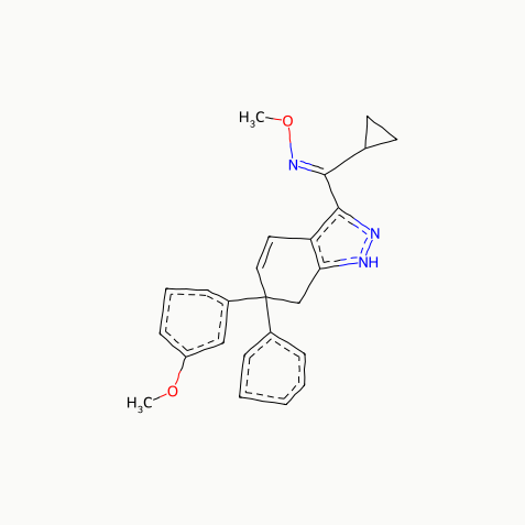 CON=C(c1n[nH]c2c1C=CC(c1ccccc1)(c1cccc(OC)c1)C2)C1CC1